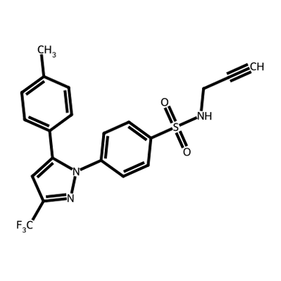 C#CCNS(=O)(=O)c1ccc(-n2nc(C(F)(F)F)cc2-c2ccc(C)cc2)cc1